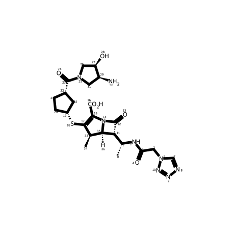 C[C@@H](NC(=O)Cn1cnnn1)[C@H]1C(=O)N2C(C(=O)O)=C(S[C@@H]3CC[C@H](C(=O)N4C[C@@H](O)[C@@H](N)C4)C3)[C@H](C)[C@H]12